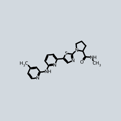 CNC(=O)C1CCCN1c1ncc(-c2cccc(Nc3cc(C)ccn3)n2)s1